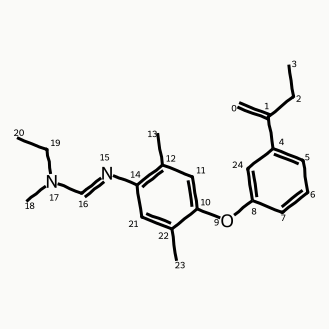 C=C(CC)c1cccc(Oc2cc(C)c(N=CN(C)CC)cc2C)c1